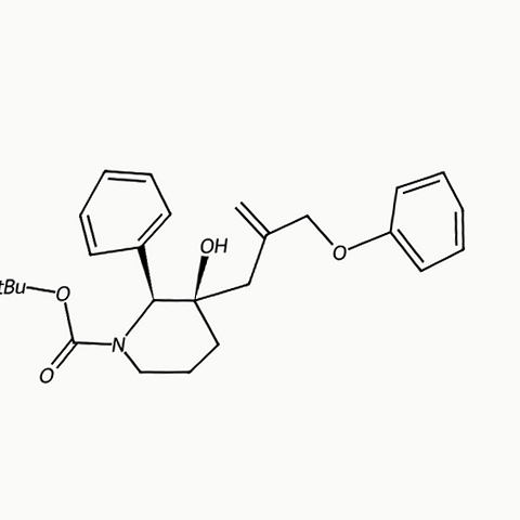 C=C(COc1ccccc1)C[C@]1(O)CCCN(C(=O)OC(C)(C)C)[C@H]1c1ccccc1